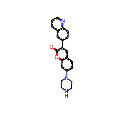 O=c1oc2cc(N3CCNCC3)ccc2cc1-c1ccc2ncccc2c1